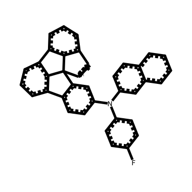 Fc1ccc(N(c2ccc3c(c2)C24c5ccccc5-c5cccc(c52)-c2cccc-3c24)c2ccc3ccccc3c2)cc1